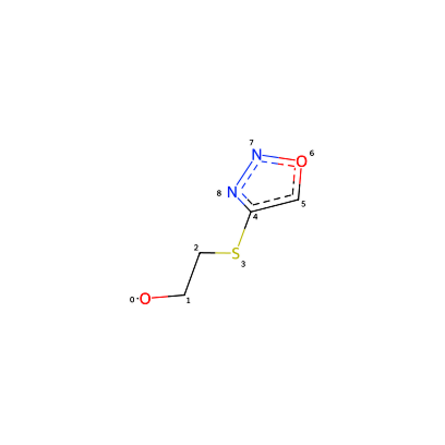 [O]CCSc1conn1